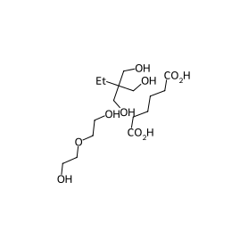 CCC(CO)(CO)CO.O=C(O)CCCCC(=O)O.OCCOCCO